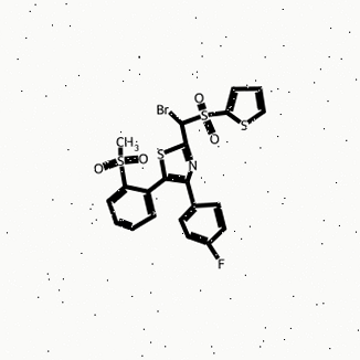 CS(=O)(=O)c1ccccc1-c1sc(C(Br)S(=O)(=O)c2cccs2)nc1-c1ccc(F)cc1